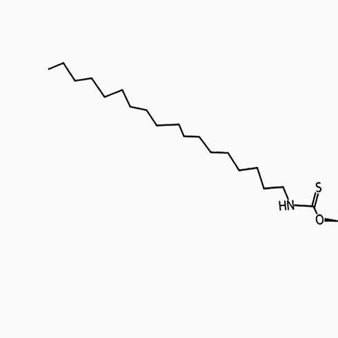 CCCCCCCCCCCCCCCCCCNC(=S)O[C@H]1CCCO[C@H]1CO